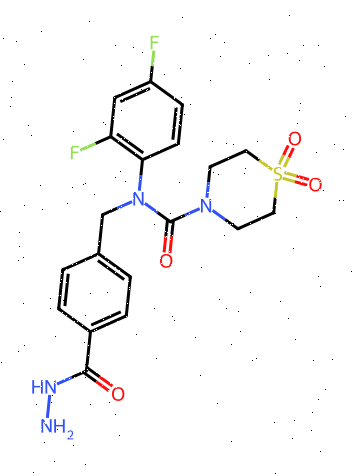 NNC(=O)c1ccc(CN(C(=O)N2CCS(=O)(=O)CC2)c2ccc(F)cc2F)cc1